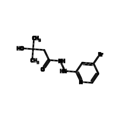 CC(C)(O)CC(=O)NNc1cc(Br)ccn1